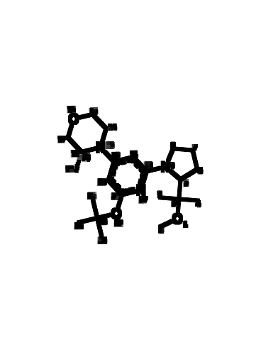 COC(C)(C)C1CCCN1c1cc(N2CCOC[C@H]2C)cc(OC(C)(C)C)n1